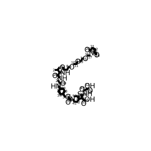 CC(C)C(NC(=O)CCOCCOCCOCCN1C(=O)C=CC1=O)C(=O)NCC(=O)Nc1ccc(COC(=O)N2CCc3c(sc(NC(=O)C(=O)O)c3C(=O)O)C2)cc1